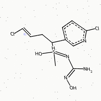 C[SH](O)(=NC(N)=NO)C(C/C=C/Cl)c1ccc(Cl)nc1